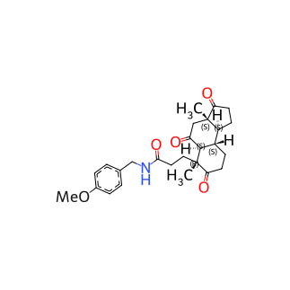 COc1ccc(CNC(=O)CC[C@@]2(C)C(=O)CC[C@@H]3[C@@H]2C(=O)C[C@]2(C)C(=O)CC[C@@H]32)cc1